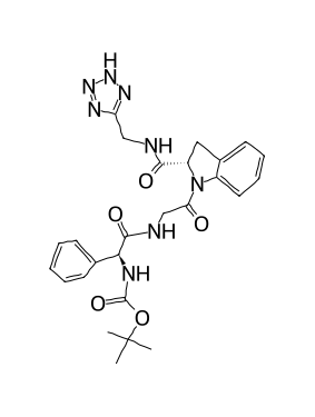 CC(C)(C)OC(=O)N[C@H](C(=O)NCC(=O)N1c2ccccc2C[C@H]1C(=O)NCc1nn[nH]n1)c1ccccc1